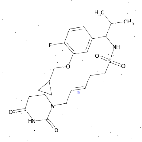 CC(C)C(NS(=O)(=O)CC/C=C/CN1CCC(=O)NC1=O)c1ccc(F)c(OCC2CC2)c1